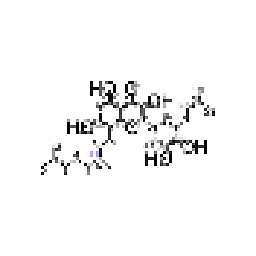 CC(C)=CCC/C(C)=C/Cc1c(O)cc(O)c2c(=O)c(O)c(-c3cc(O)c(O)c(CC=C(C)C)c3)oc12